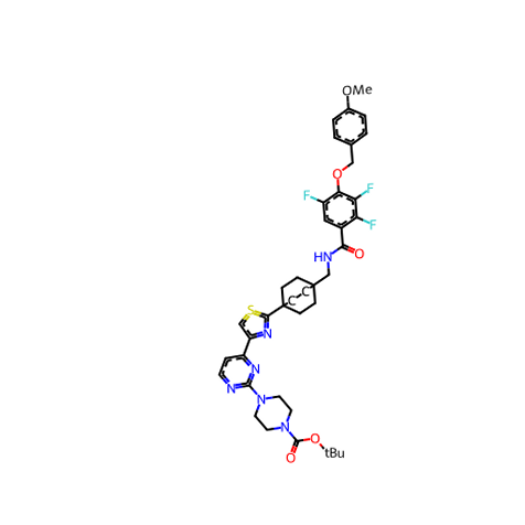 COc1ccc(COc2c(F)cc(C(=O)NCC34CCC(c5nc(-c6ccnc(N7CCN(C(=O)OC(C)(C)C)CC7)n6)cs5)(CC3)CC4)c(F)c2F)cc1